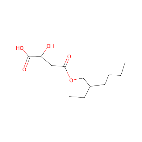 CCCCC(CC)COC(=O)CC(O)C(=O)O